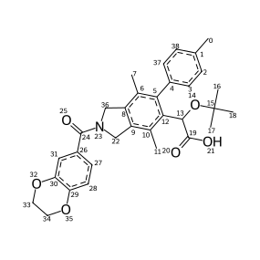 Cc1ccc(-c2c(C)c3c(c(C)c2C(OC(C)(C)C)C(=O)O)CN(C(=O)c2ccc4c(c2)OCCO4)C3)cc1